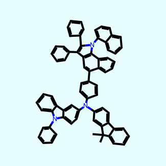 CC1(C)c2ccccc2-c2ccc(N(c3ccc(-c4cc5c(-c6ccccc6)c(-c6ccccc6)n(-c6cccc7ccccc67)c5c5ccccc45)cc3)c3ccc4c(c3)c3ccccc3n4-c3ccccc3)cc21